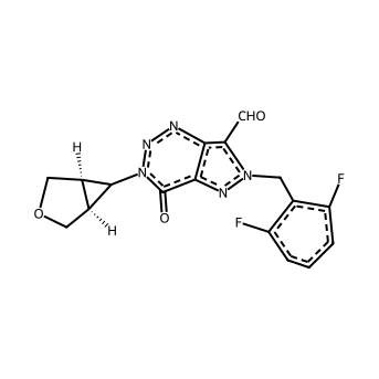 O=Cc1c2nnn(C3[C@H]4COC[C@@H]34)c(=O)c2nn1Cc1c(F)cccc1F